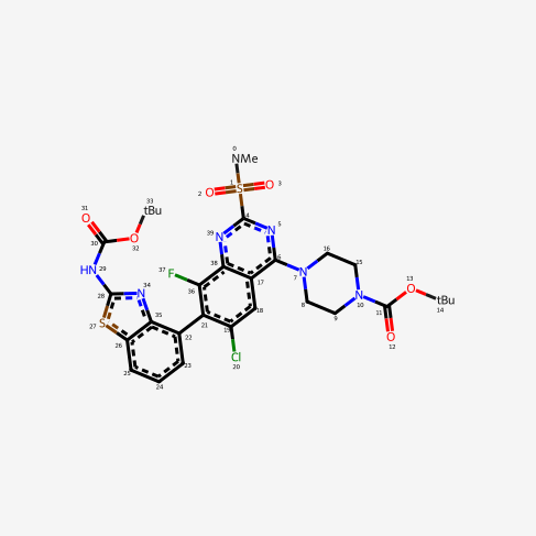 CNS(=O)(=O)c1nc(N2CCN(C(=O)OC(C)(C)C)CC2)c2cc(Cl)c(-c3cccc4sc(NC(=O)OC(C)(C)C)nc34)c(F)c2n1